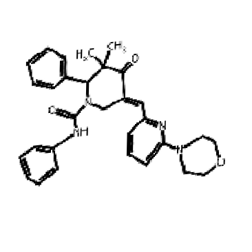 CC1(C)C(=O)/C(=C/c2cccc(N3CCOCC3)n2)CN(C(=O)Nc2ccccc2)C1c1ccccc1